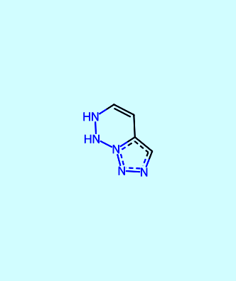 C1=Cc2cnnn2NN1